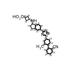 Cc1cc(-c2nc(-c3ccc4c(c3)CCC4N[C@H]3C[C@H](C(=O)O)C3)no2)ccc1-c1ccccc1C#N